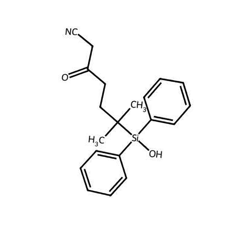 CC(C)(CCC(=O)CC#N)[Si](O)(c1ccccc1)c1ccccc1